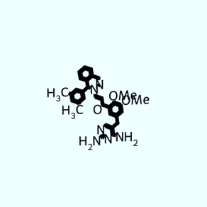 COc1cc(Cc2cnc(N)nc2N)cc(C(=O)/C=C/N2N=Cc3ccccc3C2c2cc(C)cc(C)c2)c1OC